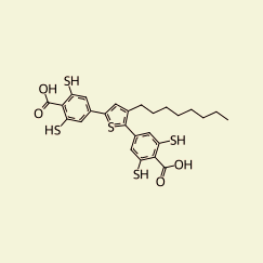 CCCCCCCCc1cc(-c2cc(S)c(C(=O)O)c(S)c2)sc1-c1cc(S)c(C(=O)O)c(S)c1